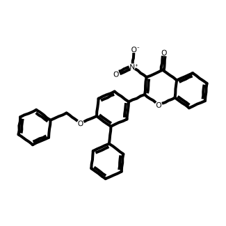 O=c1c([N+](=O)[O-])c(-c2ccc(OCc3ccccc3)c(-c3ccccc3)c2)oc2ccccc12